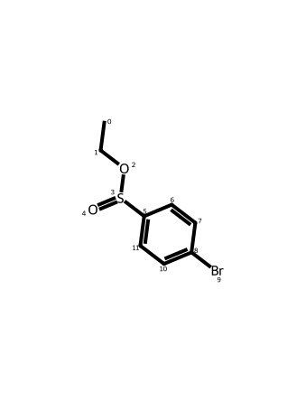 CCOS(=O)c1ccc(Br)cc1